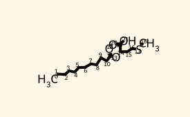 CCCCCCCCCCCC(=O)OC(CCSC)C(=O)O